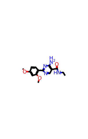 CCNC(=O)c1cnc(-c2ccc(OC)cc2OC)nc1N